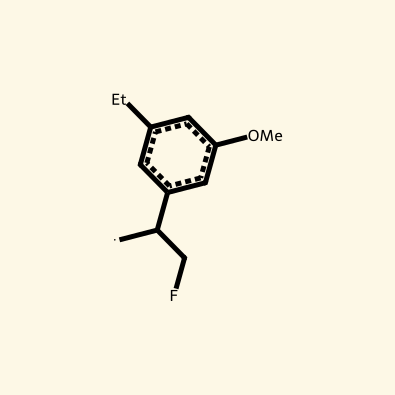 [CH2]C(CF)c1cc(CC)cc(OC)c1